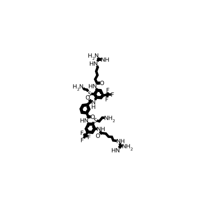 N=C(N)NCCCCC(=O)Nc1cc(C(F)(F)F)cc(NC(=O)c2cccc(C(=O)Nc3cc(C(F)(F)F)cc(NC(=O)CCCCNC(=N)N)c3SCCN)c2)c1SCCN